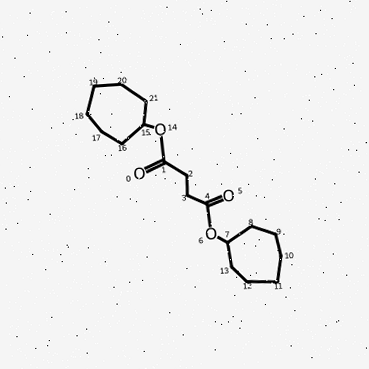 O=C(CCC(=O)OC1CCCCCC1)OC1CCCCCC1